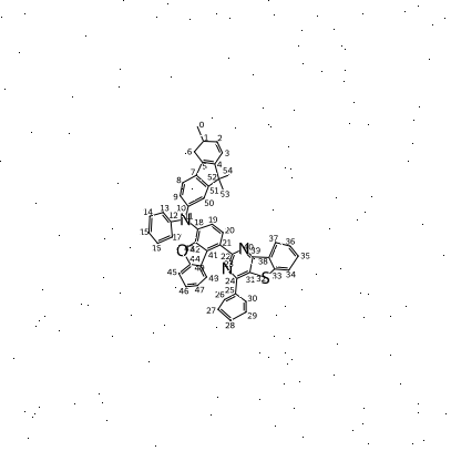 CC1C=CC2=C(C1)c1ccc(N(c3ccccc3)c3ccc(-c4nc(-c5ccccc5)c5sc6ccccc6c5n4)c4c3oc3ccccc34)cc1C2(C)C